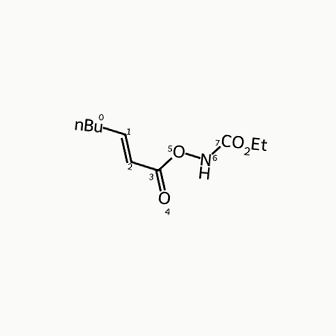 CCCCC=CC(=O)ONC(=O)OCC